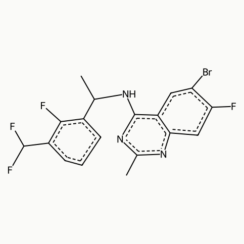 Cc1nc(NC(C)c2cccc(C(F)F)c2F)c2cc(Br)c(F)cc2n1